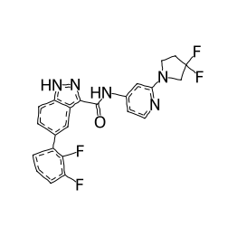 O=C(Nc1ccnc(N2CCC(F)(F)C2)c1)c1n[nH]c2ccc(-c3cccc(F)c3F)cc12